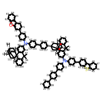 CC1(C)c2ccccc2C2(c3ccc(N(c4ccc(-c5ccc(-c6ccccc6)cc5)cc4)c4ccc(-c5ccc6c(c5)sc5ccccc56)cc4)cc31)[C@@H]1C[C@H]3C[C@H]2C[C@](c2ccc(-c4ccc(N(c5ccc(-c6ccc7c(c6)oc6ccccc67)cc5)c5ccc6c(c5)C(C)(C)c5ccccc5C65[C@H]6C[C@H]7C[C@H](C[C@H]5C7)C6)cc4)cc2)(C3)C1